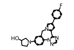 OC1CCN(c2ccc3c(c2)Cn2cc(-c4ccc(F)cc4)cc2-c2ncnn2-3)C1